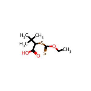 CCOC(=S)SC(C(=O)O)C(C)(C)C